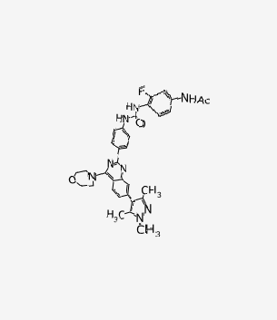 CC(=O)Nc1ccc(NC(=O)Nc2ccc(-c3nc(N4CCOCC4)c4ccc(-c5c(C)nn(C)c5C)cc4n3)cc2)c(F)c1